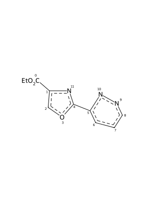 CCOC(=O)c1coc(-c2cccnn2)n1